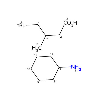 CC(CC(=O)O)CC(C)(C)C.NC1CCCCC1